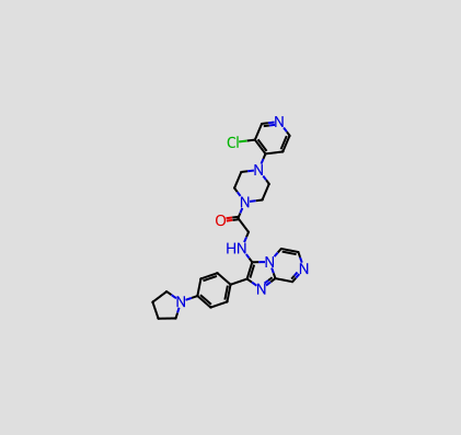 O=C(CNc1c(-c2ccc(N3CCCC3)cc2)nc2cnccn12)N1CCN(c2ccncc2Cl)CC1